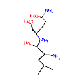 CC(C)CC(N)C(O)N[C@@H](CO)CC(N)O